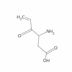 C=CC(=O)C(N)CC(=O)O